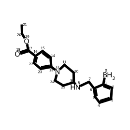 Bc1ccccc1CNC1CCN(c2ccc(C(=O)OCC)cc2)CC1